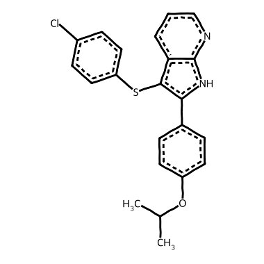 CC(C)Oc1ccc(-c2[nH]c3ncccc3c2Sc2ccc(Cl)cc2)cc1